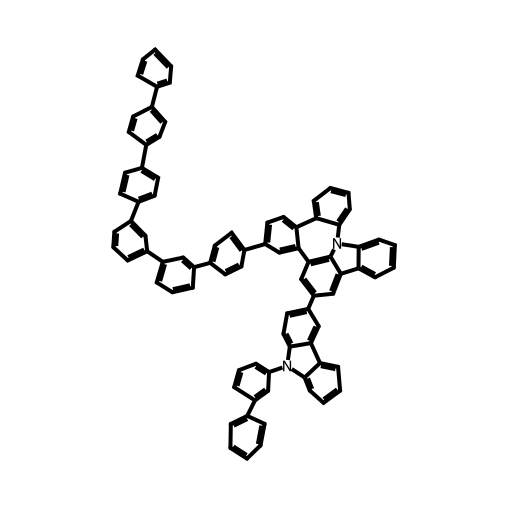 c1ccc(-c2ccc(-c3ccc(-c4cccc(-c5cccc(-c6ccc(-c7ccc8c(c7)-c7cc(-c9ccc%10c(c9)c9ccccc9n%10-c9cccc(-c%10ccccc%10)c9)cc9c%10ccccc%10n(c79)-c7ccccc7-8)cc6)c5)c4)cc3)cc2)cc1